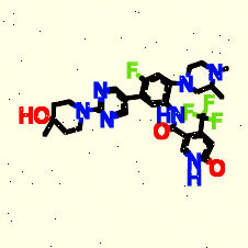 CC1CN(c2cc(F)c(-c3cnc(N4CCC(C)(O)CC4)nc3)cc2NC(=O)c2c[nH]c(=O)cc2C(F)(F)F)CCN1C